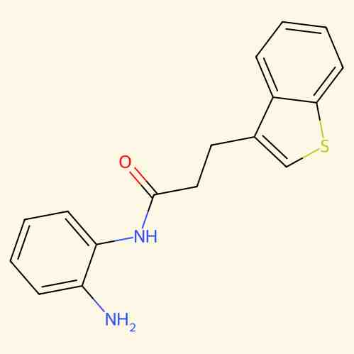 Nc1ccccc1NC(=O)CCc1csc2ccccc12